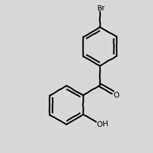 O=C(c1ccc(Br)cc1)c1ccccc1O